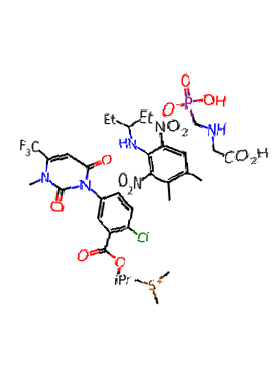 CC(C)OC(=O)c1cc(-n2c(=O)cc(C(F)(F)F)n(C)c2=O)ccc1Cl.CCC(CC)Nc1c([N+](=O)[O-])cc(C)c(C)c1[N+](=O)[O-].C[S+](C)C.O=C(O)CNCP(=O)([O-])O